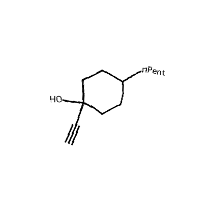 C#CC1(O)CCC(CCCCC)CC1